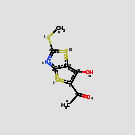 CSc1nc2sc(C(C)=O)c(O)c2s1